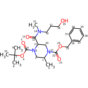 CC1CN(C(=O)OC(C)(C)C)C(C(=O)N(C)CCCO)CN1C(=O)OCc1ccccc1